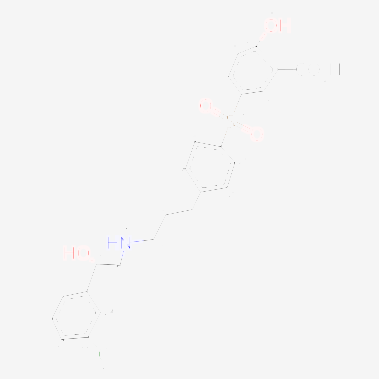 O=C(O)c1cc(S(=O)(=O)c2ccc(CCCNC[C@@H](O)c3cccc(Cl)c3)cc2)ccc1O